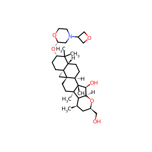 C[C@@H]1C[C@H](CO)O[C@H]2C1[C@@]1(C)CC[C@@]34C[C@@]35CC[C@H](O[C@H]3CN(C6COC6)CCO3)C(C)(C)[C@@H]5CC[C@H]4[C@]1(C)[C@H]2O